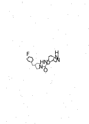 O=C(c1cc2c(ccc3[nH]ncc32)[nH]1)N1CCC(Cc2ccc(F)cc2)CC1